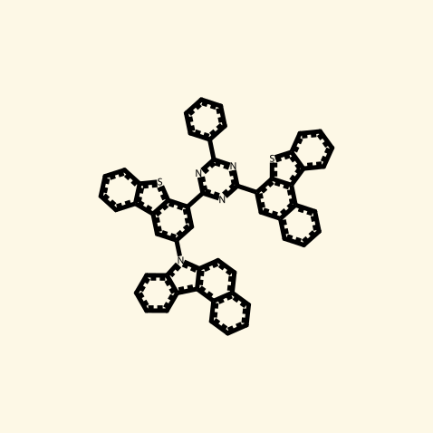 c1ccc(-c2nc(-c3cc(-n4c5ccccc5c5c6ccccc6ccc54)cc4c3sc3ccccc34)nc(-c3cc4ccccc4c4c3sc3ccccc34)n2)cc1